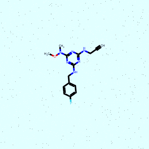 C#CCNc1nc(NCc2ccc(F)cc2)nc(N(C)OC)n1